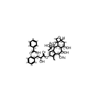 CC(=O)O[C@H]1C2=C(C)[C@@H](OC(=O)[C@H](O)[C@@H](NC(=O)c3ccccc3)c3ccccc3)C[C@@]2(C(C)(C)O)[C@@H](O)C2[C@@](C)([C@@H](O)C[C@H]3OC[C@@]23OC(C)=O)[C@H]1O